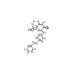 CC1=C2CCC[C@H](O)[C@@]2(C)CC(=Cc2ccc(C=Cc3ccccc3)cc2)C1=O